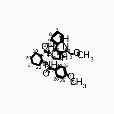 COC[C@@H]1Nc2ccccc2[C@H]2[C@@H]1CCN2C(=O)[C@H]1CCCC[C@H]1NC(=O)c1ccc(OC)cc1